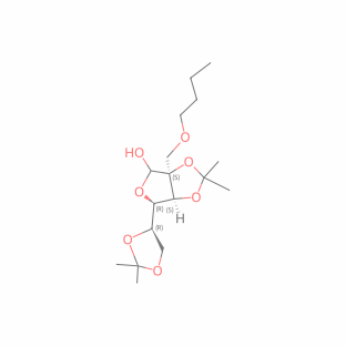 CCCCOC[C@]12OC(C)(C)O[C@H]1[C@@H]([C@H]1COC(C)(C)O1)OC2O